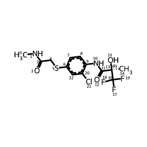 CNC(=O)CSc1ccc(NC(=O)[C@@](C)(O)C(F)(F)F)c(Cl)c1